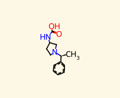 C[C@@H](c1ccccc1)N1CCC(NC(=O)O)C1